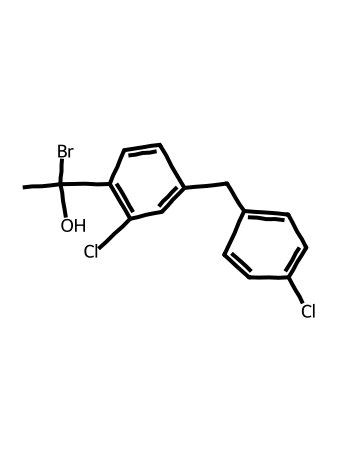 CC(O)(Br)c1ccc(Cc2ccc(Cl)cc2)cc1Cl